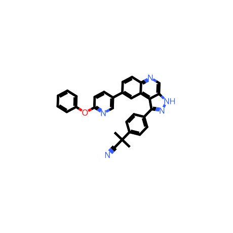 CC(C)(C#N)c1ccc(-c2n[nH]c3cnc4ccc(-c5ccc(Oc6ccccc6)nc5)cc4c23)cc1